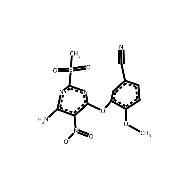 COc1ccc(C#N)cc1Oc1nc(S(C)(=O)=O)nc(N)c1[N+](=O)[O-]